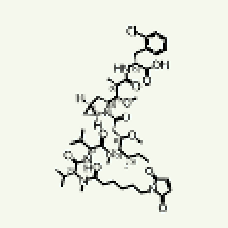 CC[C@H](C)[C@@H]([C@@H](CC(=O)N1[C@H]2C[C@H]2C[C@H]1[C@H](OC)[C@@H](C)C(=O)N[C@@H](Cc1ccccc1Cl)C(=O)O)OC)N(C)C(=O)[C@@H](NC(=O)[C@H](C(C)C)N(C)C(=O)CCCCCN1C(=O)C=CC1=O)C(C)C